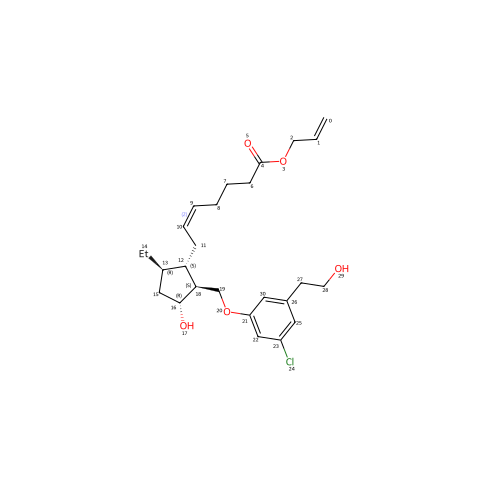 C=CCOC(=O)CCC/C=C\C[C@H]1[C@H](CC)C[C@@H](O)[C@@H]1COc1cc(Cl)cc(CCO)c1